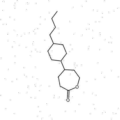 CCCCC1CCC(C2CCOC(=O)CC2)CC1